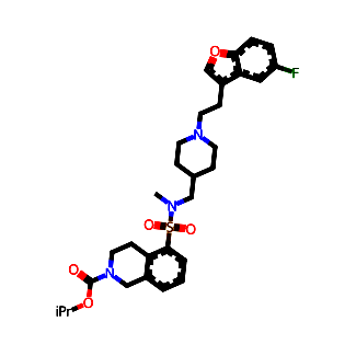 CC(C)OC(=O)N1CCc2c(cccc2S(=O)(=O)N(C)CC2CCN(CCc3coc4ccc(F)cc34)CC2)C1